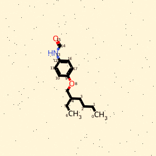 CCCCC(CC)COc1ccc(NC=O)cc1